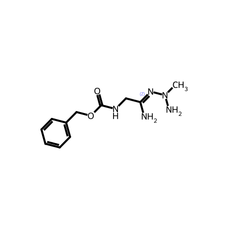 CN(N)/N=C(\N)CNC(=O)OCc1ccccc1